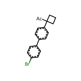 CC(=O)C1(c2ccc(-c3ccc(Br)cc3)cc2)CCC1